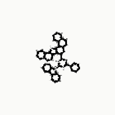 c1ccc(-c2nc(-c3cc4ccc5ccccc5c4c4sc5c6ccccc6ccc5c34)nc(-n3c4ccccc4c4ccccc43)n2)cc1